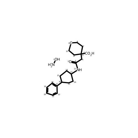 NO.O=C(CC1(C(=O)O)CCOCC1)NC1CCC(c2ccccc2)CC1